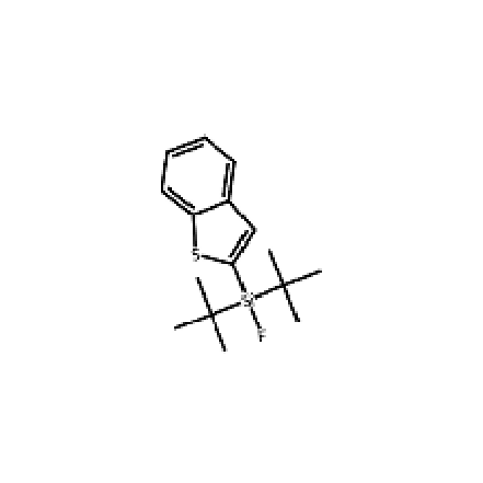 CC(C)(C)[Si](F)(c1cc2ccccc2s1)C(C)(C)C